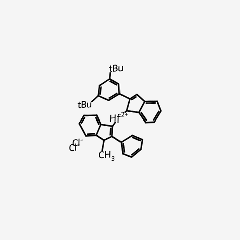 CC1C(c2ccccc2)=[C]([Hf+2][CH]2C(c3cc(C(C)(C)C)cc(C(C)(C)C)c3)=Cc3ccccc32)c2ccccc21.[Cl-].[Cl-]